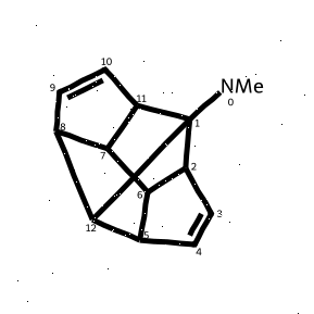 CNC12C3C=CC4C3C3C(C=CC31)C42